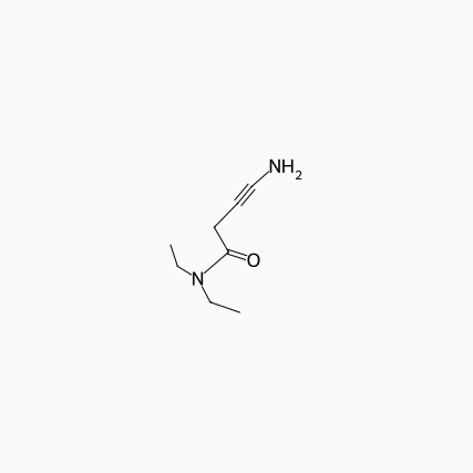 CCN(CC)C(=O)CC#CN